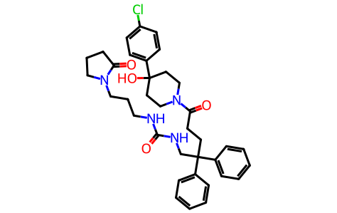 O=C(NCCCN1CCCC1=O)NCC(CCC(=O)N1CCC(O)(c2ccc(Cl)cc2)CC1)(c1ccccc1)c1ccccc1